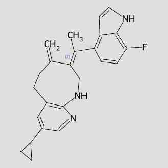 C=C1CCc2cc(C3CC3)cnc2NC/C1=C(/C)c1ccc(F)c2[nH]ccc12